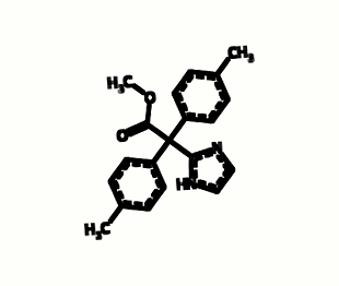 COC(=O)C(c1ccc(C)cc1)(c1ccc(C)cc1)c1ncc[nH]1